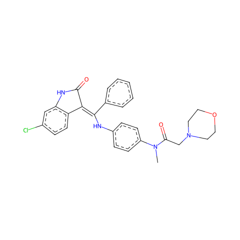 CN(C(=O)CN1CCOCC1)c1ccc(NC(=C2C(=O)Nc3cc(Cl)ccc32)c2ccccc2)cc1